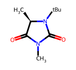 C[C@@H]1C(=O)N(C)C(=O)N1C(C)(C)C